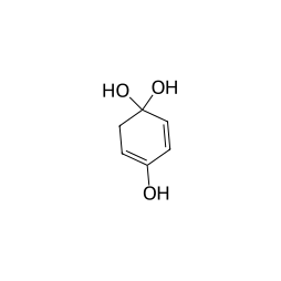 OC1=CCC(O)(O)C=C1